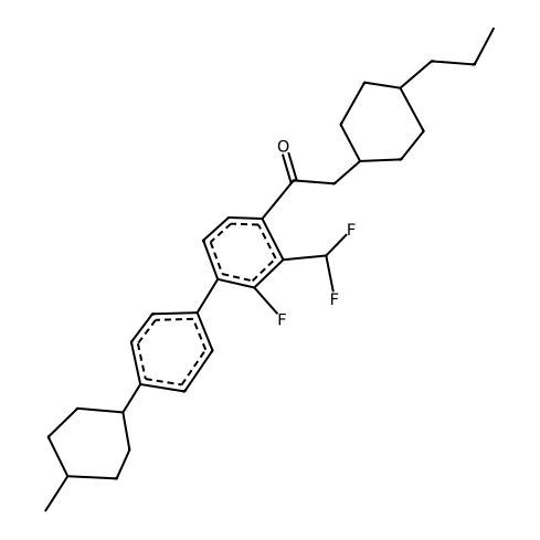 CCCC1CCC(CC(=O)c2ccc(-c3ccc(C4CCC(C)CC4)cc3)c(F)c2C(F)F)CC1